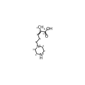 CC(=CCCN1CCNCC1)C(=O)O